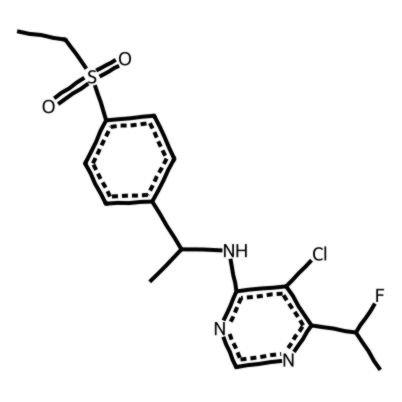 CCS(=O)(=O)c1ccc(C(C)Nc2ncnc(C(C)F)c2Cl)cc1